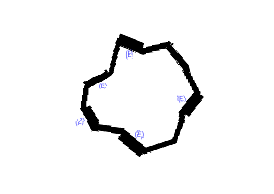 [CH]1/C=C/C=C/C=C\C=C\C/C=C/C1